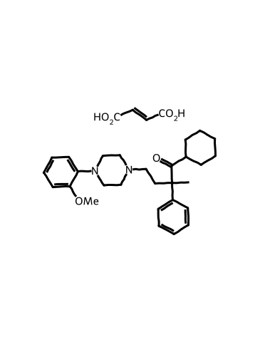 COc1ccccc1N1CCN(CCC(C)(C(=O)C2CCCCC2)c2ccccc2)CC1.O=C(O)C=CC(=O)O